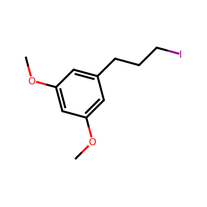 COc1cc(CCCI)cc(OC)c1